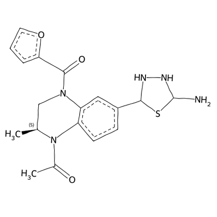 CC(=O)N1c2ccc(C3NNC(N)S3)cc2N(C(=O)c2ccco2)C[C@@H]1C